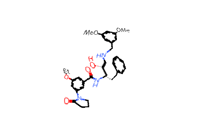 CCOc1cc(C(=O)N[C@@H](Cc2ccccc2)[C@H](O)CNCc2cc(OC)cc(OC)c2)cc(N2CCCC2=O)c1